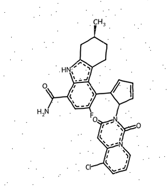 C[C@H]1CCc2c([nH]c3c(C(N)=O)cc(F)c(C4=CC=CC4n4c(=O)cc5c(Cl)cccn5c4=O)c23)C1